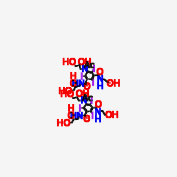 CC(=O)N(CC(O)CO)c1c(I)c(C(=O)NCCO)c(I)c(C(=O)NCC(O)CO)c1I.CC(=O)N(CC(O)CO)c1c(I)c(C(=O)NCCO)c(I)c(C(=O)NCC(O)CO)c1I